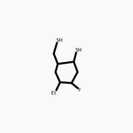 CCC1CC(CS)C(S)CC1F